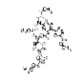 CCCCN(CCC(C)CN(C)C1=NCN([C@H]2CS[C@@H](COC)O2)C=C1)C1=NCN([C@H]2CS[C@@H](COC)O2)C=C1